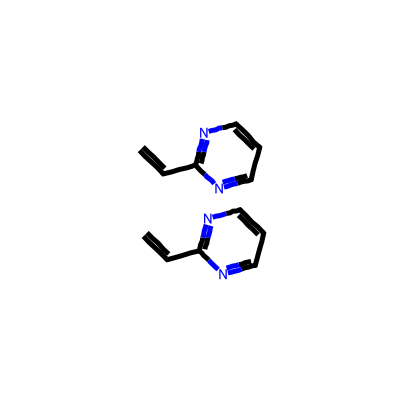 C=Cc1ncccn1.C=Cc1ncccn1